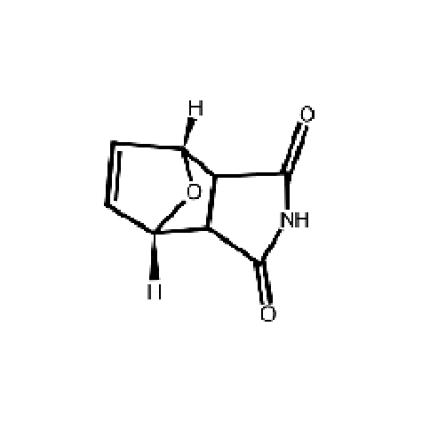 O=C1NC(=O)C2C1[C@@H]1C=C[C@H]2O1